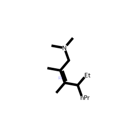 CCCC(CC)/C(C)=C(/C)CN(C)C